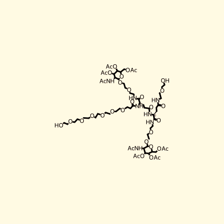 CC(=O)NC1C(OCCOCCNC(=O)[C@H](CCC(=O)NCCOCCO)NC(=O)CC[C@H](NC(=O)CCOCCOCCOCCOCCOCCOCCO)C(=O)NCCOCCOC2OC(COC(C)=O)C(OC(C)=O)C(OC(C)=O)C2NC(C)=O)OC(COC(C)=O)C(OC(C)=O)C1OC(C)=O